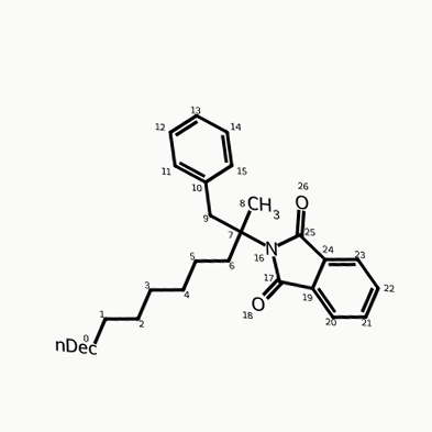 CCCCCCCCCCCCCCCCC(C)(Cc1ccccc1)N1C(=O)c2ccccc2C1=O